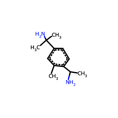 Cc1cc(C(C)(C)N)ccc1C(C)N